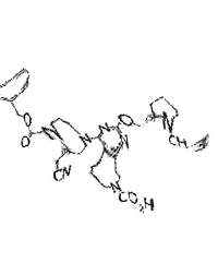 CN1CCC[C@H]1COc1nc2c(c(N3CCN(C(=O)OCc4ccccc4)[C@H](CC#N)C3)n1)CCN(C(=O)O)C2